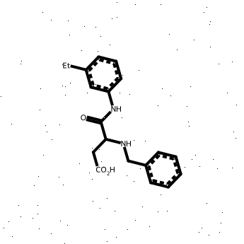 CCc1cccc(NC(=O)C(CC(=O)O)NCc2ccccc2)c1